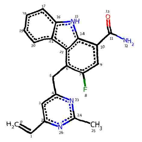 C=Cc1cc(Cc2c(F)cc(C(N)=O)c3[nH]c4ccccc4c23)nc(C)n1